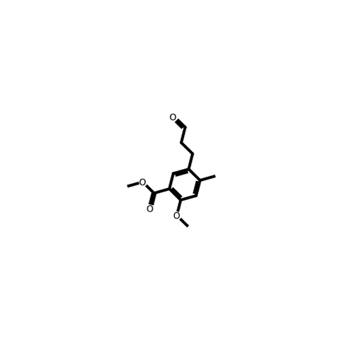 COC(=O)c1cc(CCC=O)c(C)cc1OC